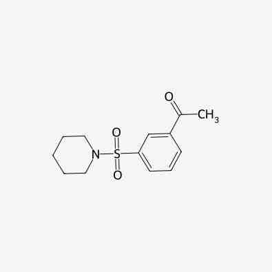 CC(=O)c1cccc(S(=O)(=O)N2CCCCC2)c1